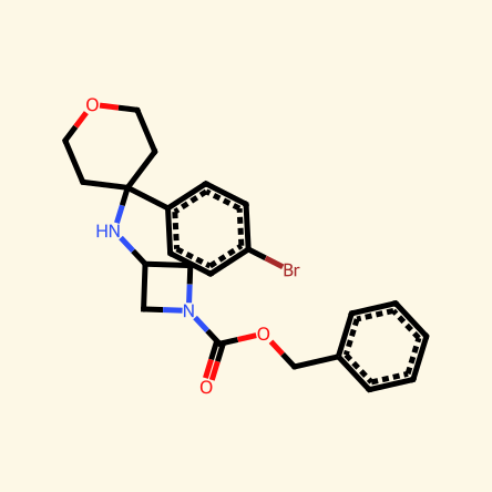 O=C(OCc1ccccc1)N1CC(NC2(c3ccc(Br)cc3)CCOCC2)C1